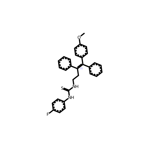 COc1ccc(/C(=C(/CCNC(=S)Nc2ccc(F)cc2)c2ccccc2)c2ccccc2)cc1